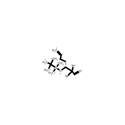 [2H]C([2H])(C=O)[C@@H](CCC=C)O[Si](C)(C)C(C)(C)C